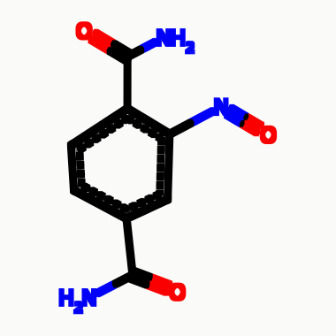 NC(=O)c1ccc(C(N)=O)c(N=O)c1